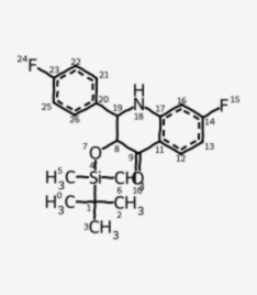 CC(C)(C)[Si](C)(C)OC1C(=O)c2ccc(F)cc2NC1c1ccc(F)cc1